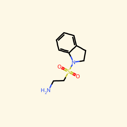 NCCS(=O)(=O)N1CCc2ccccc21